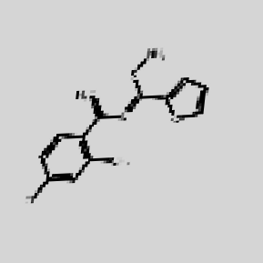 C=C(/N=C(\SN)c1ccco1)c1ccc(Cl)cc1C